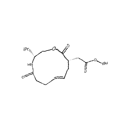 CC(C)[C@@H]1COC(=O)[C@H](CC(=O)OC(C)(C)C)C/C=C/CCC(=O)N1